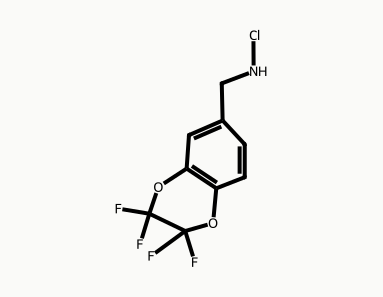 FC1(F)Oc2ccc(CNCl)cc2OC1(F)F